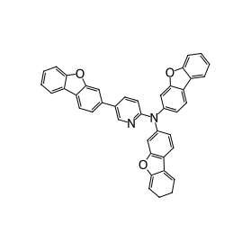 C1=c2oc3cc(N(c4ccc5c(c4)oc4ccccc45)c4ccc(-c5ccc6c(c5)oc5ccccc56)cn4)ccc3c2=CCC1